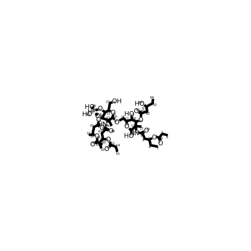 CCC(=O)OC(CC)CC(=O)NC1(C)C(O)OC(COC2OC(CO)C(O[PH](O)(O)O)C(OC(=O)CC(C)OC(C)=O)C2(C)NC(=O)CC(CC)OC(=O)CC)C(O)C1OC(=O)CC(O)CC